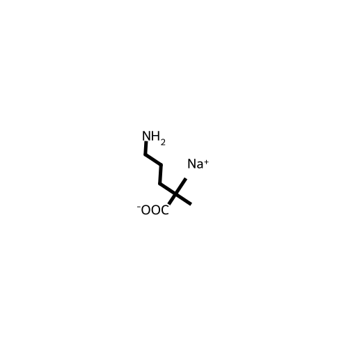 CC(C)(CCCN)C(=O)[O-].[Na+]